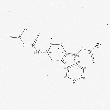 CC(C)CC(=O)N[C@@H]1CCc2c(c3ccccc3n2CC(=O)O)C1